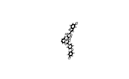 O=C(N[C@@H](Cc1ccccn1)C(=O)NCC(=O)N1CCC(Oc2ccc(Cl)cc2)CC1)c1cc2cc(Cl)ccc2o1